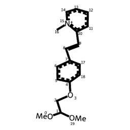 COC(COc1ccc(C=Cc2cccc[n+]2C)cc1)OC